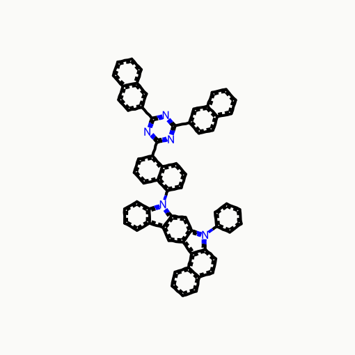 c1ccc(-n2c3cc4c(cc3c3c5ccccc5ccc32)c2ccccc2n4-c2cccc3c(-c4nc(-c5ccc6ccccc6c5)nc(-c5ccc6ccccc6c5)n4)cccc23)cc1